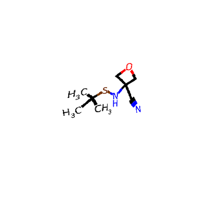 CC(C)(C)SNC1(C#N)COC1